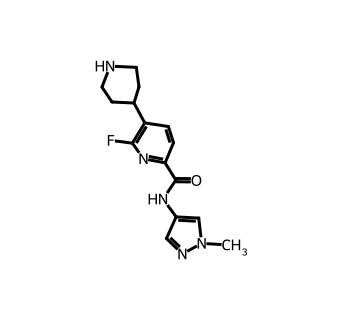 Cn1cc(NC(=O)c2ccc(C3CCNCC3)c(F)n2)cn1